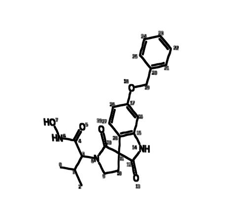 CC(C)C(C(=O)NO)N1CCC2(C(=O)Nc3cc(OCc4ccccc4)ccc32)C1=O